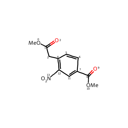 COC(=O)Cc1ccc(C(=O)OC)cc1[N+](=O)[O-]